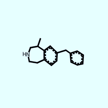 CC1CNCCc2ccc(Cc3ccccc3)cc21